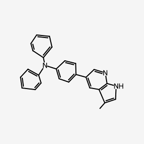 Cc1c[nH]c2ncc(-c3ccc(N(c4ccccc4)c4ccccc4)cc3)cc12